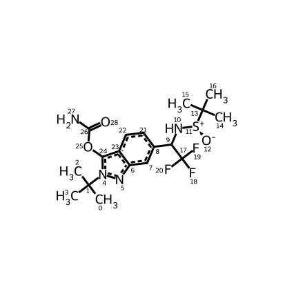 CC(C)(C)n1nc2cc(C(N[S@+]([O-])C(C)(C)C)C(F)(F)F)ccc2c1OC(N)=O